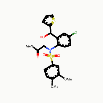 CNC(=O)CN(c1ccc(Cl)cc1C(O)c1cccs1)S(=O)(=O)c1ccc(OC)c(OC)c1